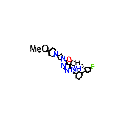 COC1CCN(C2CCN(C(=O)c3ncnc(NCC4CCCC(c5ccc(F)cc5)C4)c3C)CC2)CC1